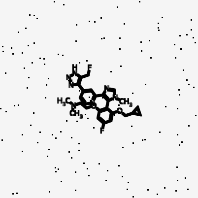 CN(C)CCOc1cc(F)cc(OCC2CC2)c1-c1c(-c2cc(-c3nn[nH]c3CF)ccn2)ncn1C